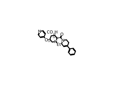 CCN1C[C@@H](Oc2ccncc2)C[C@H](C(=O)O)[C@H]1C(=O)N1CC=C(c2ccccc2)CC1